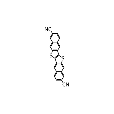 N#Cc1ccc2cc3c(cc2c1)sc1c2cc4ccc(C#N)cc4cc2sc31